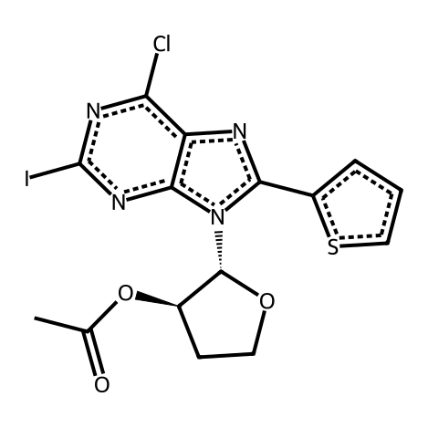 CC(=O)O[C@@H]1CCO[C@H]1n1c(-c2cccs2)nc2c(Cl)nc(I)nc21